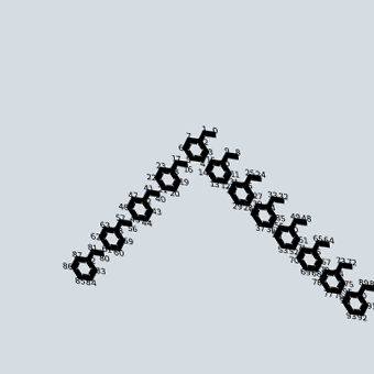 C=Cc1ccccc1.C=Cc1ccccc1.C=Cc1ccccc1.C=Cc1ccccc1.C=Cc1ccccc1.C=Cc1ccccc1.C=Cc1ccccc1.C=Cc1ccccc1.C=Cc1ccccc1.C=Cc1ccccc1.C=Cc1ccccc1.C=Cc1ccccc1